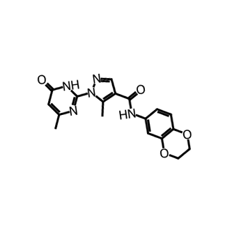 Cc1cc(=O)[nH]c(-n2ncc(C(=O)Nc3ccc4c(c3)OCCO4)c2C)n1